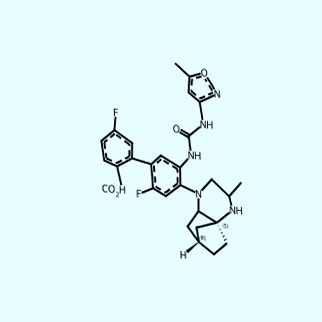 Cc1cc(NC(=O)Nc2cc(-c3cc(F)ccc3C(=O)O)c(F)cc2N2CC(C)N[C@]34CC[C@H](CC23)C4)no1